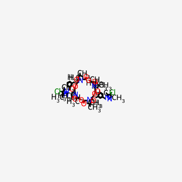 Cc1nn(Cc2cccc(C[C@H]3OC(=O)[C@H](CC(C)C)N(C)C(=O)[C@@H](C)OC(=O)[C@H](CC(C)C)N(C)C(=O)[C@@H](Cc4cccc(Cn5nc(C)c(Cl)c5C)c4)OC(=O)[C@H](CC(C)C)N(C)C(=O)[C@@H](C)OC(=O)[C@H](CC(C)C)N(C)C3=O)c2)c(C)c1Cl